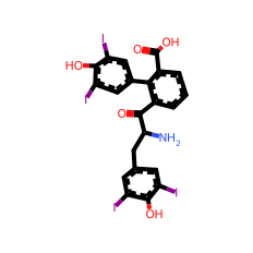 NC(Cc1cc(I)c(O)c(I)c1)C(=O)c1cccc(C(=O)O)c1-c1cc(I)c(O)c(I)c1